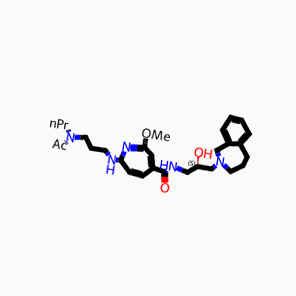 CCCN(CCCNC1C=CC(C(=O)NC[C@H](O)CN2CCCc3ccccc3C2)=CC(OC)=N1)C(C)=O